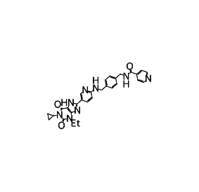 CCn1c(=O)n(C2CC2)c(=O)c2[nH]c(-c3ccc(NCc4ccc(CNC(=O)c5ccncc5)cc4)nc3)nc21